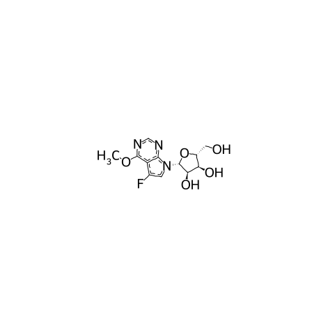 COc1ncnc2c1c(F)cn2[C@@H]1O[C@H](CO)[C@@H](O)[C@H]1O